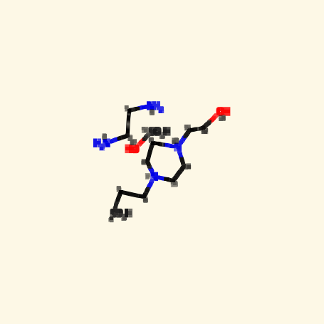 NCCN.O=S(=O)(O)CCN1CCN(CCO)CC1.O=S(=O)(O)O